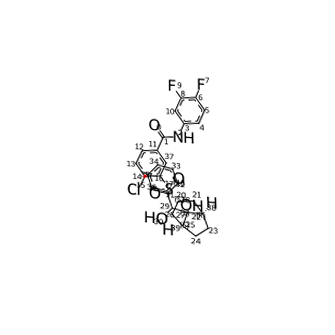 O=C(Nc1ccc(F)c(F)c1)c1ccc(Cl)c(S(=O)(=O)[C@@H]2C[C@H]3CC[C@@H](C2)[C@@]3(O)C(O)c2ccccc2)c1